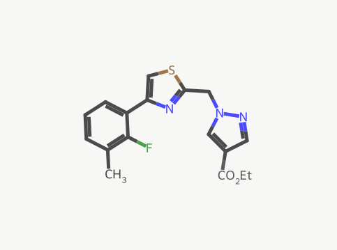 CCOC(=O)c1cnn(Cc2nc(-c3cccc(C)c3F)cs2)c1